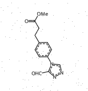 COC(=O)CCc1ccc(-n2cnnc2C=O)cc1